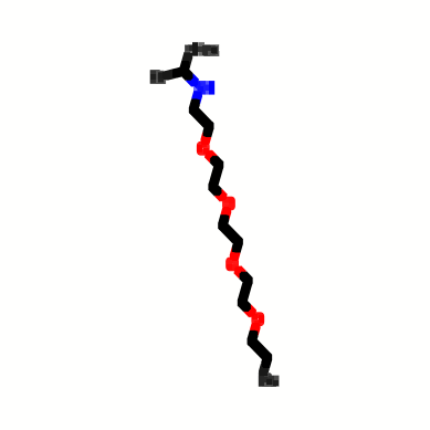 CCCCCCC(CC)NCCOCCOCCOCCOCCC(C)CC